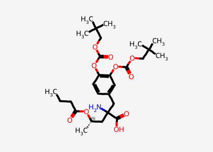 CCCC(=O)O[C@@H](C)CC(N)(Cc1ccc(OC(=O)OCC(C)(C)C)c(OC(=O)OCC(C)(C)C)c1)C(=O)O